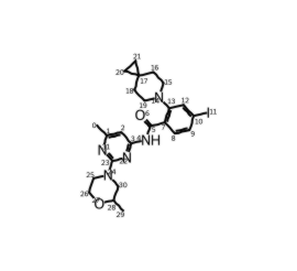 Cc1cc(NC(=O)c2ccc(I)cc2N2CCC3(CC2)CC3)nc(N2CCOC(C)C2)n1